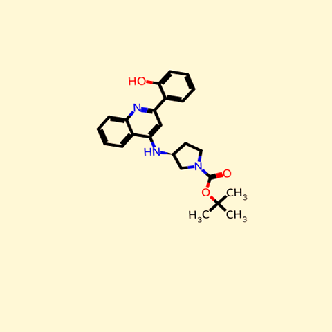 CC(C)(C)OC(=O)N1CC[C@H](Nc2cc(-c3ccccc3O)nc3ccccc23)C1